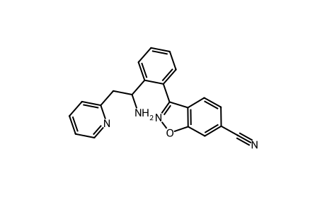 N#Cc1ccc2c(-c3ccccc3C(N)Cc3ccccn3)noc2c1